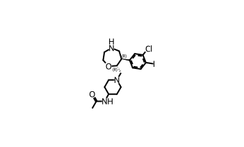 CC(=O)NC1CCN(C[C@@H]2OCCNC[C@H]2c2ccc(I)c(Cl)c2)CC1